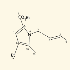 C/C=C/Cn1c(C(=O)OCC)cc(CC)c1C